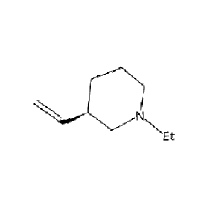 C=C[C@H]1CCCN(CC)C1